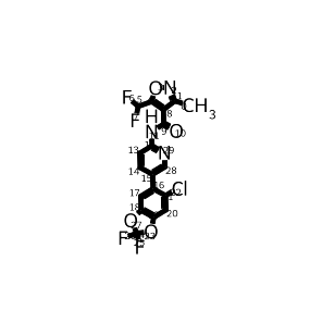 Cc1noc(C(F)F)c1C(=O)Nc1ccc(-c2cc3c(cc2Cl)OC(F)(F)O3)cn1